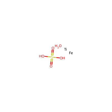 O.O=S(=O)(O)O.[Fe].[Ti]